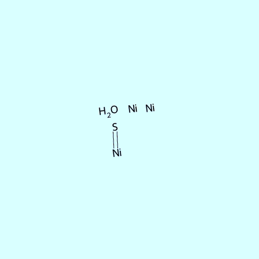 O.[Ni].[Ni].[S]=[Ni]